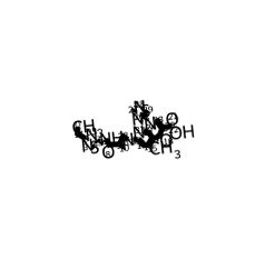 CCc1nsc(NC(=O)C2CN(c3cc(C)c4c(=O)c(C(=O)O)cn(-c5ncns5)c4n3)C2)n1